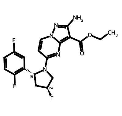 CCOC(=O)c1c(N)nn2ccc(N3C[C@@H](F)C[C@@H]3c3cc(F)ccc3F)nc12